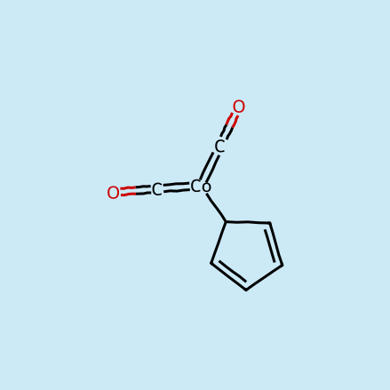 O=[C]=[Co](=[C]=O)[CH]1C=CC=C1